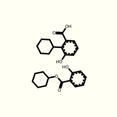 O=C(O)c1cccc(O)c1C1CCCCC1.O=C(OC1CCCCC1)c1ccccc1O